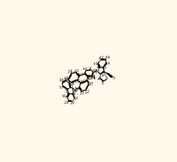 C#Cc1c(/C=C\C)n(-c2ccc(-c3ccccc3-c3c(C#N)cccc3-n3c4ccccc4c4ccccc43)cc2)c2ccccc12